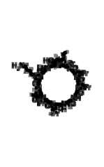 C/C=C/C[C@@H](C)[C@@H](O)[C@H]1C(=O)N[C@H](CC)C(=O)N(C)[C@H](CSCCCCN)C(=O)N(C)[C@@H](CC(C)(C)O)C(=O)N[C@H](C(C)C)C(=O)N(C)[C@H](CCC(C)C)C(=O)N[C@H](C)C(=O)N[C@@H](C)C(=O)N(C)[C@@H](CC(C)C)C(=O)N(C)[C@H](CC(C)C)C(=O)N(C)[C@H](C(C)C)C(=O)N1C